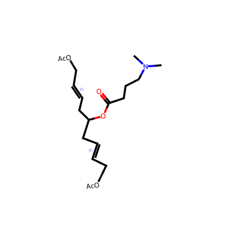 CC(=O)OC/C=C/CC(C/C=C/COC(C)=O)OC(=O)CCCN(C)C